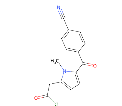 Cn1c(CC(=O)Cl)ccc1C(=O)c1ccc(C#N)cc1